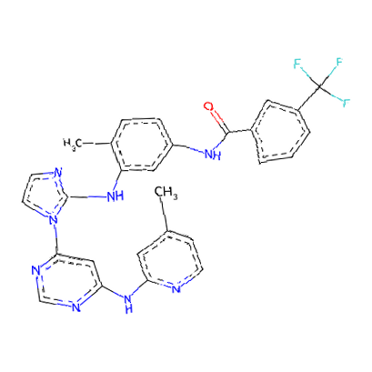 Cc1ccnc(Nc2cc(-n3ccnc3Nc3cc(NC(=O)c4cccc(C(F)(F)F)c4)ccc3C)ncn2)c1